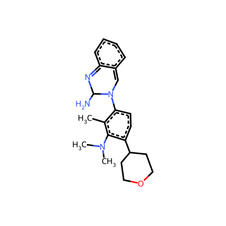 Cc1c(N2C=c3ccccc3=NC2N)ccc(C2CCOCC2)c1N(C)C